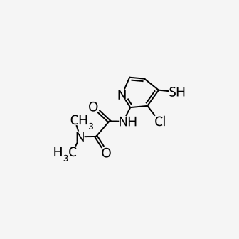 CN(C)C(=O)C(=O)Nc1nccc(S)c1Cl